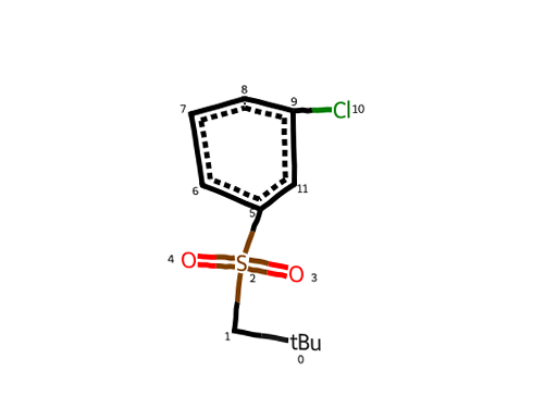 CC(C)(C)CS(=O)(=O)c1cc[c]c(Cl)c1